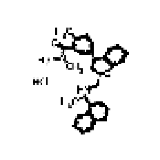 Cc1ccc([C@@H]2C[C@H](CN[C@H](C)c3cccc4ccccc34)Oc3ccccc32)cc1C(=O)N(C)C.Cl